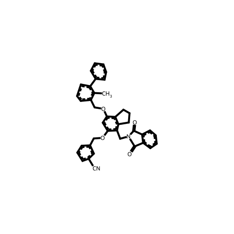 Cc1c(COc2cc(OCc3cccc(C#N)c3)c(CN3C(=O)c4ccccc4C3=O)c3c2CCC3)cccc1-c1ccccc1